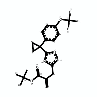 C=C(Cc1noc(C2(c3ccc(OC(F)(F)F)cc3)CC2)n1)C(=O)OC(C)(C)C